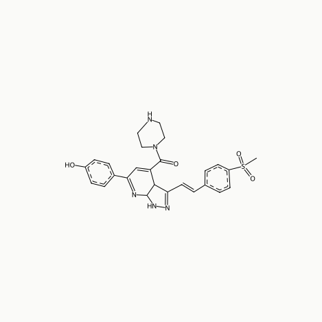 CS(=O)(=O)c1ccc(/C=C/C2=NNC3N=C(c4ccc(O)cc4)C=C(C(=O)N4CCNCC4)C23)cc1